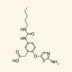 CCCCCNC(=O)Nc1ccc(Oc2cnc(N)s2)c(CC(=O)O)c1